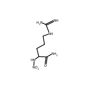 N=C(N)NCCCC(N[N+](=O)[O-])C(N)=O